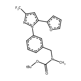 CN(Cc1cccc(-n2nc(C(F)(F)F)cc2-c2ccco2)c1)C(=O)OC(C)(C)C